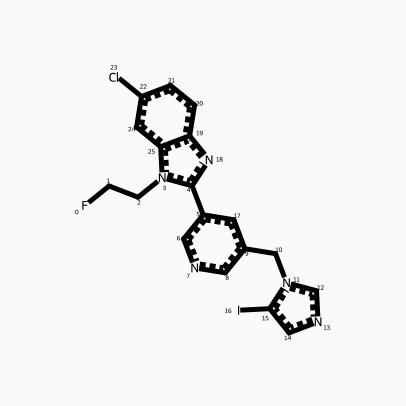 FCCn1c(-c2cncc(Cn3cncc3I)c2)nc2ccc(Cl)cc21